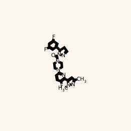 Cc1cc(-c2nc(N3CCN(C(=O)N4N=CCC4c4cc(F)cc(F)c4)CC3)ccc2F)n(C)n1